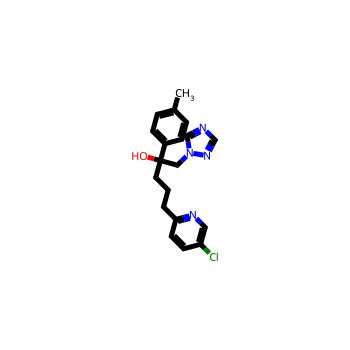 Cc1ccc(C(O)(CCCc2ccc(Cl)cn2)Cn2cncn2)cc1